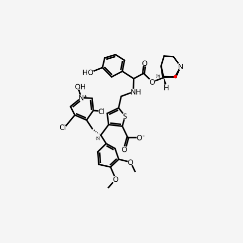 COc1ccc([C@H](Cc2c(Cl)c[n+](O)cc2Cl)c2cc(CNC(C(=O)O[C@H]3CN4CCC3CC4)c3cccc(O)c3)sc2C(=O)[O-])cc1OC